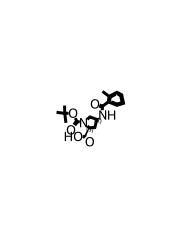 Cc1ccccc1C(=O)N[C@@H]1C[C@@H](C(=O)O)N(C(=O)OC(C)(C)C)C1